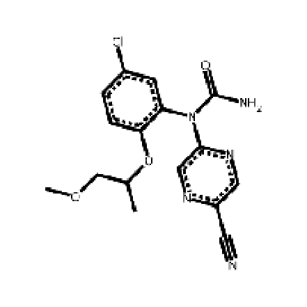 COCC(C)Oc1ccc(Cl)cc1N(C(N)=O)c1cnc(C#N)cn1